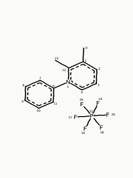 Cc1ccc[n+](-c2ccccc2)c1C.F[P-](F)(F)(F)(F)F